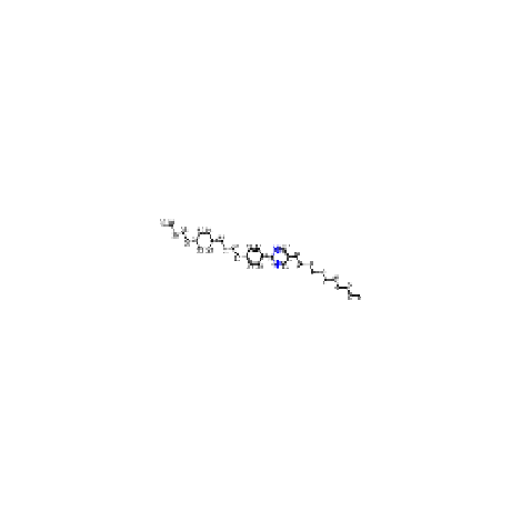 CCCCCCCCCCCc1cnc(-c2ccc(CCCCC3CCC(CCCCC)CC3)cc2)nc1